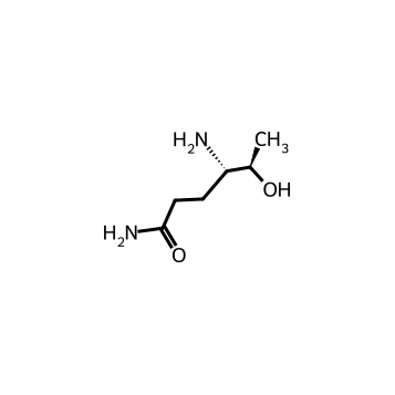 C[C@@H](O)[C@@H](N)CCC(N)=O